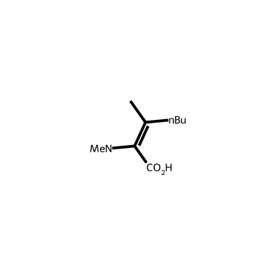 CCCCC(C)=C(NC)C(=O)O